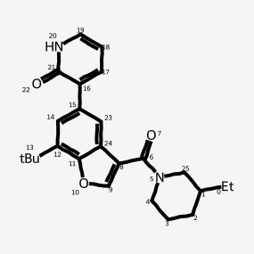 CCC1CCCN(C(=O)c2coc3c(C(C)(C)C)cc(-c4ccc[nH]c4=O)cc23)C1